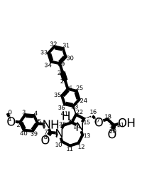 COc1ccc(NC(=O)N2CCCCN3[C@@H](COCC(=O)O)[C@H](c4ccc(C#Cc5ccccc5)cc4)[C@@H]3C2)cc1